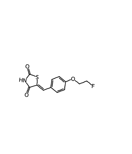 O=C1NC(=O)C(=Cc2ccc(OCCF)cc2)S1